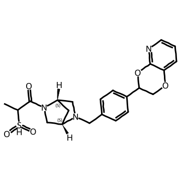 CC(C(=O)N1C[C@@H]2C[C@H]1CN2Cc1ccc(C2COc3cccnc3O2)cc1)[SH](=O)=O